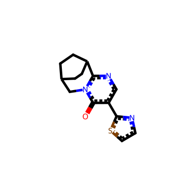 O=c1c(-c2nccs2)cnc2n1CC1CCC2CC1